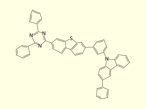 c1ccc(-c2ccc3c(c2)c2ccccc2n3-c2cccc(-c3ccc4c(c3)sc3cc(-c5nc(-c6ccccc6)nc(-c6ccccc6)n5)ccc34)c2)cc1